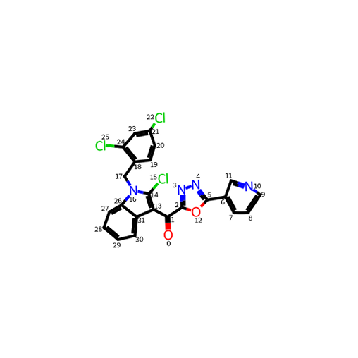 O=C(c1nnc(-c2cccnc2)o1)c1c(Cl)n(Cc2ccc(Cl)cc2Cl)c2ccccc12